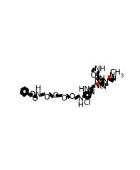 Cn1cc(-n2cnc3c(NCc4nc5cc(Cl)c(NCCOCCOCCOCCOCCNC(=O)OCc6ccccc6)cc5[nH]4)nc(C4CNCCO4)nc32)cn1